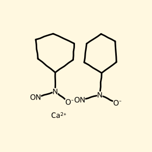 O=NN([O-])C1CCCCC1.O=NN([O-])C1CCCCC1.[Ca+2]